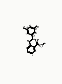 COC(=O)c1ccccc1CCc1cc(C)cc(C)c1